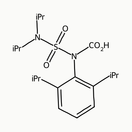 CC(C)c1cccc(C(C)C)c1N(C(=O)O)S(=O)(=O)N(C(C)C)C(C)C